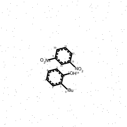 CCC(C)c1ccccc1O.O=[N+]([O-])c1cccc([N+](=O)[O-])c1